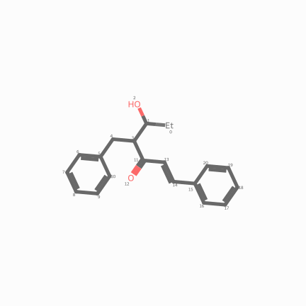 CCC(O)C(Cc1ccccc1)C(=O)C=Cc1ccccc1